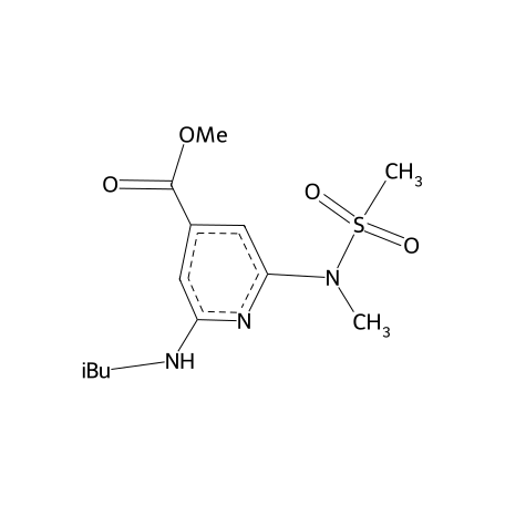 CCC(C)Nc1cc(C(=O)OC)cc(N(C)S(C)(=O)=O)n1